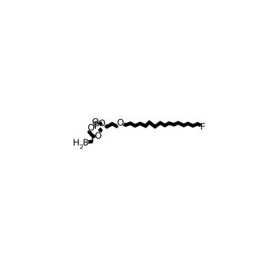 BC[C@H]1COP(=O)(OCCCOCCCCCCCCCCCCCCCCF)CO1